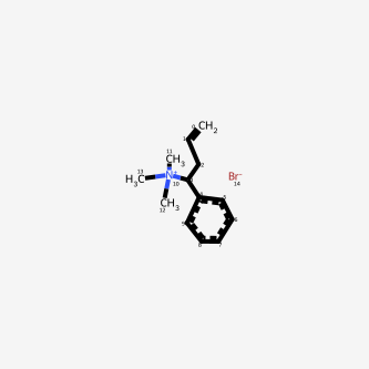 C=CCC(c1ccccc1)[N+](C)(C)C.[Br-]